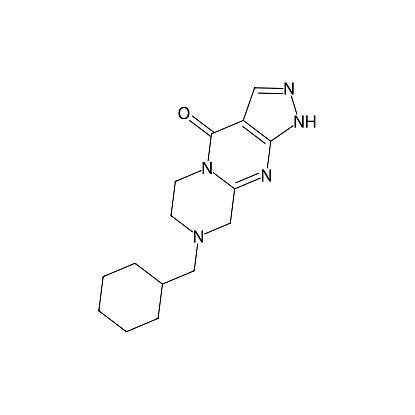 O=c1c2cn[nH]c2nc2n1CCN(CC1CCCCC1)C2